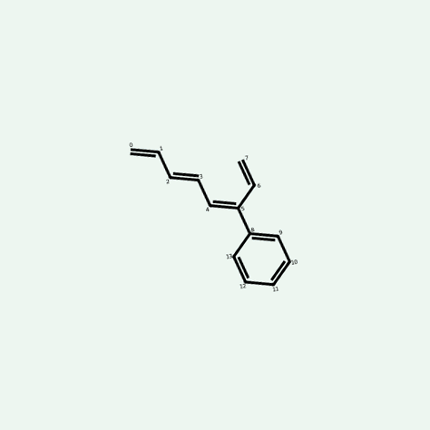 C=CC=CC=C(C=C)c1ccccc1